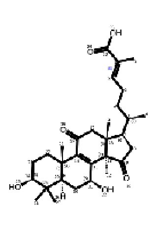 C/C(=C\CC[C@@H](C)[C@H]1CC(=O)[C@@]2(C)C3=C(C(=O)C[C@]12C)[C@@]1(C)CC[C@H](O)C(C)(C)[C@@H]1C[C@@H]3O)C(=O)O